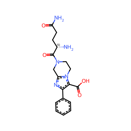 NC(=O)CC[C@H](N)C(=O)N1CCn2c(nc(-c3ccccc3)c2C(=O)O)C1